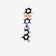 O=S(=O)(c1c(F)cccc1F)C1CCN(c2nc(Cc3cc(F)cc(Cl)c3)cs2)CC1